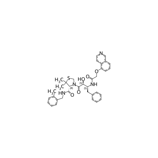 Cc1ccccc1CNC(=O)[C@H]1N(C(=O)[C@@H](O)[C@H](Cc2ccccc2)NC(=O)COc2cccc3cnccc23)CSC1(C)C